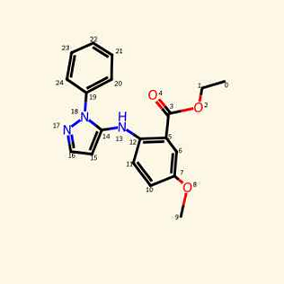 CCOC(=O)c1cc(OC)ccc1Nc1ccnn1-c1ccccc1